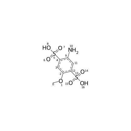 COc1cc(S(=O)(=O)O)c(N)cc1S(=O)(=O)O